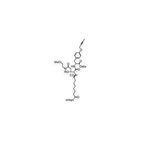 CC#CCOc1ccc(CC(NC(=O)[C@@H](/C=C/CCCCCCC(=O)CCCCCCC)[C@@](O)(CC(=O)N(C)CCOC)C(=O)O)C(=O)OC)cc1